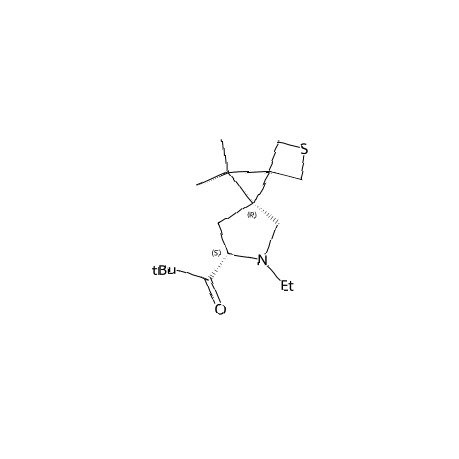 CCN1C[C@]2(C[C@H]1C(=O)C(C)(C)C)C(C)(C)C21CSC1